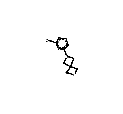 Clc1cncc(N2CC3(COC3)C2)n1